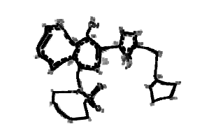 O=S1(=O)CCCCN1c1nc(-c2nnc(CC3CCCC3)[nH]2)c(O)c2ncccc12